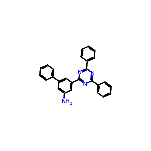 Nc1cc(-c2ccccc2)cc(-c2nc(-c3ccccc3)nc(-c3ccccc3)n2)c1